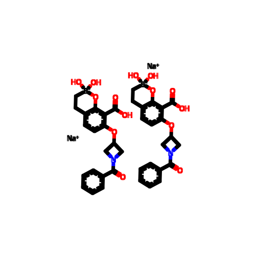 O=C(O)c1c(OC2CN(C(=O)c3ccccc3)C2)ccc2c1O[B-](O)(O)CC2.O=C(O)c1c(OC2CN(C(=O)c3ccccc3)C2)ccc2c1O[B-](O)(O)CC2.[Na+].[Na+]